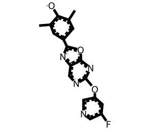 Cc1cc(-c2nc3cnc(Oc4cncc(F)c4)nc3o2)cc(C)c1[O]